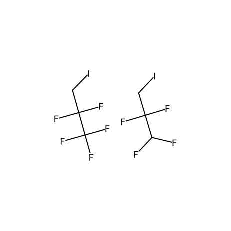 FC(F)(F)C(F)(F)CI.FC(F)C(F)(F)CI